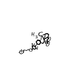 Cc1ccc2oc(=O)n(Cc3cccc(-c4ncc(OCCCN5CCCC5)cn4)c3)c2n1